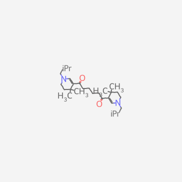 CC(C)CN1C=C(C(=O)CCCCC(=O)C2=CN(CC(C)C)CCC2(C)C)C(C)(C)CC1